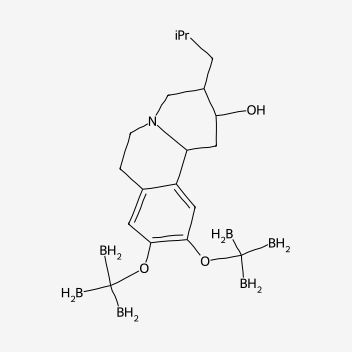 BC(B)(B)Oc1cc2c(cc1OC(B)(B)B)C1CC(O)C(CC(C)C)CN1CC2